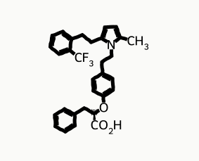 Cc1ccc(CCc2ccccc2C(F)(F)F)n1CCc1ccc(O[C@H](Cc2ccccc2)C(=O)O)cc1